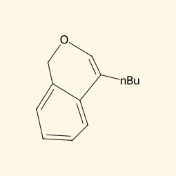 [CH2]CCCC1=COCc2ccccc21